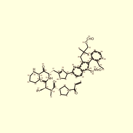 C=CC(=O)N1CC[C@H](C(=O)N(C)[C@H](C(=O)N[C@@H](CC2=NC(c3ccc4c(n3)c(CC(C)(C)COC=O)c(-c3cccnc3[C@H](C)OC)n4CC)CS2)C(=O)N2CCCCN2)C(C)C)C1